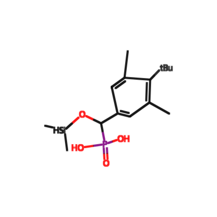 Cc1cc(C(O[SiH](C)C)P(=O)(O)O)cc(C)c1C(C)(C)C